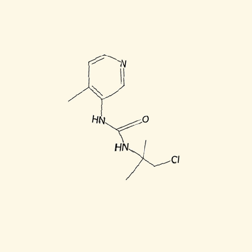 Cc1ccncc1NC(=O)NC(C)(C)CCl